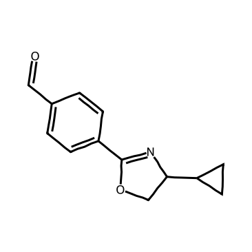 O=Cc1ccc(C2=NC(C3CC3)CO2)cc1